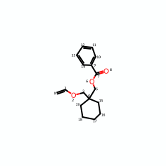 C=COCC1(COC(=O)c2ccccc2)CCCCC1